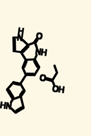 CCC(=O)O.O=c1[nH]c2ccc(-c3ccc4[nH]ccc4c3)cc2c2cc[nH]c12